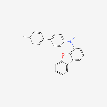 CC1C=CC(c2ccc(N(C)c3cccc4c3oc3ccccc34)cc2)=CC1